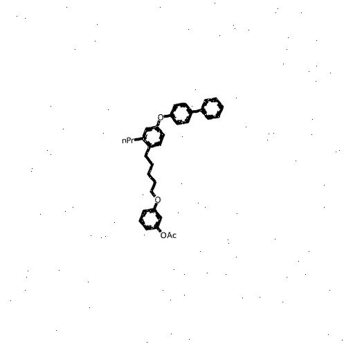 CCCc1cc(Oc2ccc(-c3ccccc3)cc2)ccc1CCCCCOc1cccc(OC(C)=O)c1